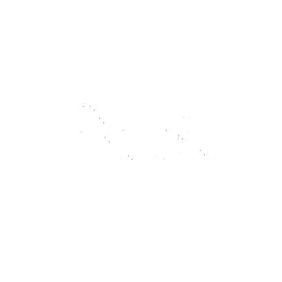 CC(N)C(=O)N1CCC(C(C)NC(=O)c2cn3ncccc3n2)CC1